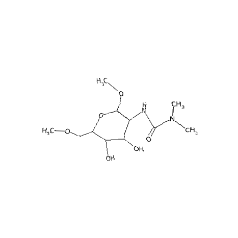 COCC1OC(OC)C(NC(=O)N(C)C)C(O)C1O